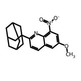 COc1cc([N+](=O)[O-])c2nc(C34CC5CC(CC(C5)C3)C4)ccc2c1